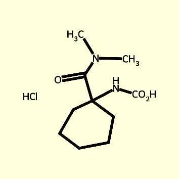 CN(C)C(=O)C1(NC(=O)O)CCCCC1.Cl